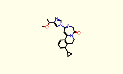 COC(C)c1cn(C2=NCC(=O)N3CCc4c(cccc4C4CC4)C3=C2)cn1